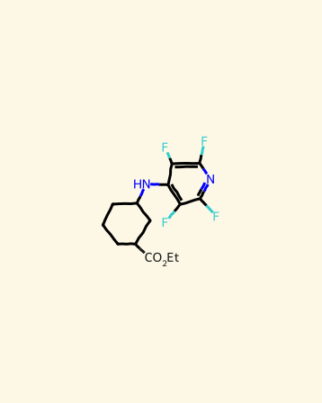 CCOC(=O)C1CCCC(Nc2c(F)c(F)nc(F)c2F)C1